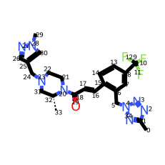 Cc1nnn(Cc2cc(C(F)(F)F)ccc2C=CC(=O)N2CCN(Cc3cnn(C)c3)C[C@H]2C)n1